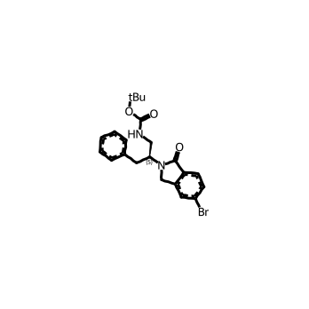 CC(C)(C)OC(=O)NC[C@H](Cc1ccccc1)N1Cc2cc(Br)ccc2C1=O